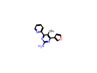 CCCCc1c(-c2ccoc2)nc(N)nc1-c1ccccn1